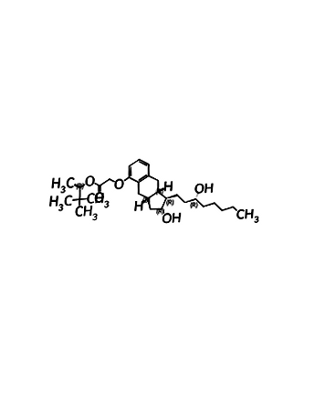 CCCCC[C@@H](O)CC[C@@H]1[C@H]2Cc3cccc(OCC(=O)O[C@H](C)C(C)(C)C)c3C[C@H]2C[C@H]1O